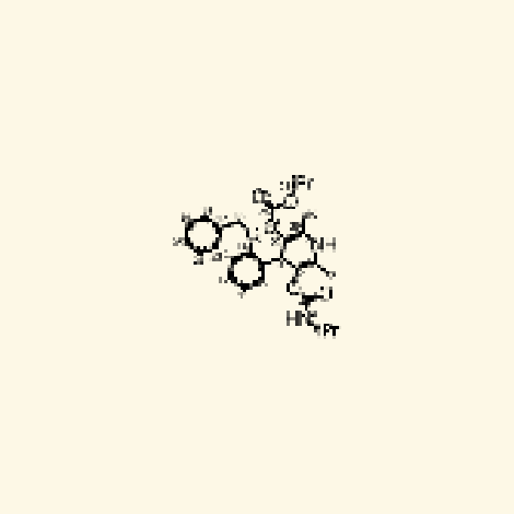 CC1=C(OC(=O)NC(C)C)C(c2ccccc2OCc2ccccc2)C(OC(=O)OC(C)C)=C(C)N1